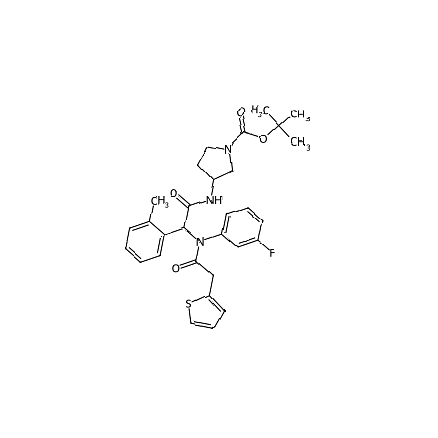 Cc1ccccc1C(C(=O)NC1CCN(C(=O)OC(C)(C)C)C1)N(C(=O)Cc1cccs1)c1cccc(F)c1